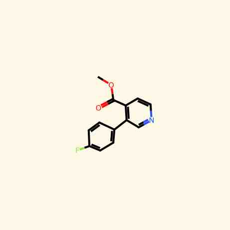 COC(=O)c1ccncc1-c1ccc(F)cc1